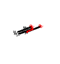 CCCCCCCCCCCCCCCCCC(=O)[O-].CCCCCCCCCCCCCCCCCC(=O)[O-].CCCCCCCCCCCCCCCCCC(=O)[O-].[Li+].[Mg+2]